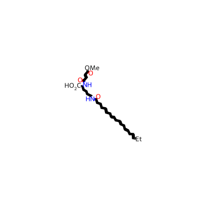 CCC=CCC=CCC=CCC=CCC=CCCCC(=O)NCCCC[C@H](NC(=O)C=CC(=O)OC)C(=O)O